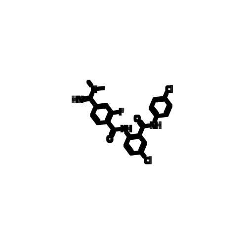 CN(C)C(=N)c1ccc(C(=O)Nc2ccc(Cl)cc2C(=O)Nc2ccc(Cl)cc2)c(F)c1